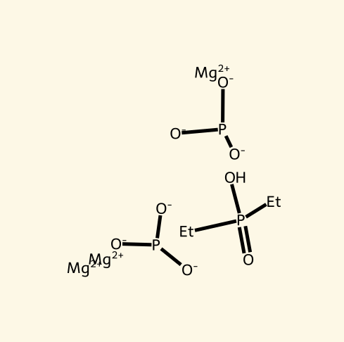 CCP(=O)(O)CC.[Mg+2].[Mg+2].[Mg+2].[O-]P([O-])[O-].[O-]P([O-])[O-]